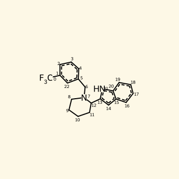 FC(F)(F)c1cccc(CN2CCCCC2c2cc3ccccc3[nH]2)c1